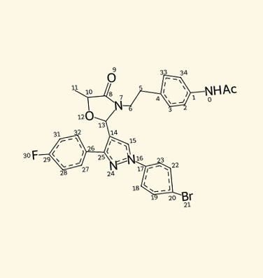 CC(=O)Nc1ccc(CCN2C(=O)C(C)OC2c2cn(-c3ccc(Br)cc3)nc2-c2ccc(F)cc2)cc1